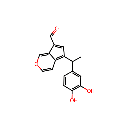 CC(c1ccc(O)c(O)c1)c1cc(C=O)c2coccc1-2